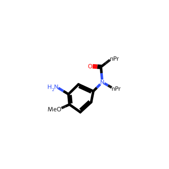 CCCC(=O)N(CCC)c1ccc(OC)c(N)c1